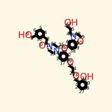 O=C(Cc1cccc(CO)c1)N1CCN(c2ccc(OCCCOCc3ccccc3O)cc2)[C@@H](COc2ccc3c(c2)N(CCCO)CCO3)C1